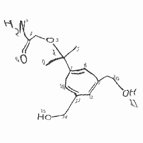 CC(C)(OC(N)=O)c1cc(CO)cc(CO)c1